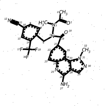 CC(=O)N(C)N(Cc1ccc(C#N)cc1C(F)(F)F)C(=O)c1ccc2nc(N)c3cnn(C)c3c2c1